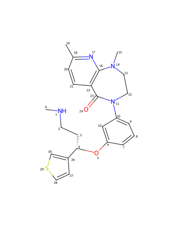 CNCC[C@H](Oc1cccc(N2CCN(C)c3nc(C)ccc3C2=O)c1)c1ccsc1